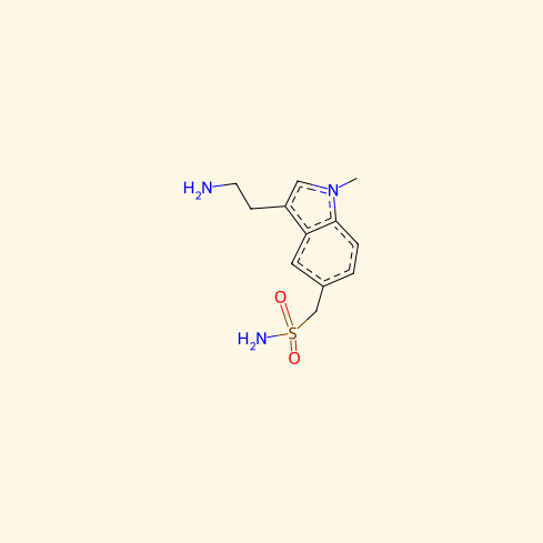 Cn1cc(CCN)c2cc(CS(N)(=O)=O)ccc21